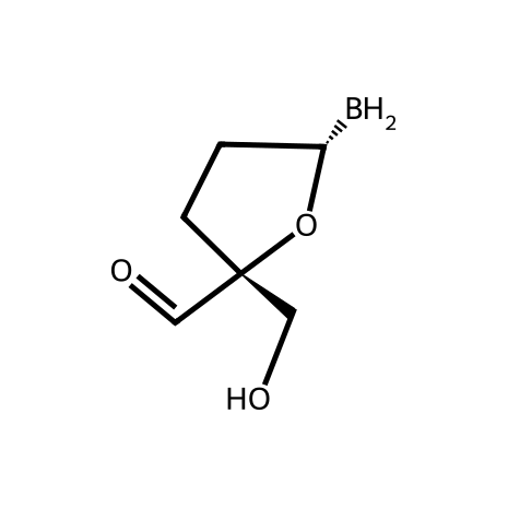 B[C@H]1CC[C@](C=O)(CO)O1